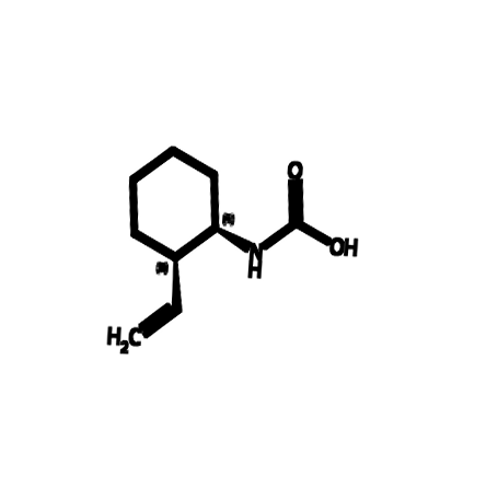 C=C[C@H]1CCCC[C@H]1NC(=O)O